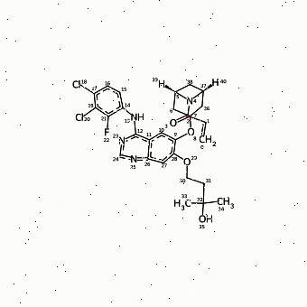 C=CC(=O)N1[C@@H]2CC(Oc3cc4c(Nc5ccc(Cl)c(Cl)c5F)ncnc4cc3OCCC(C)(C)O)C[C@H]1C2